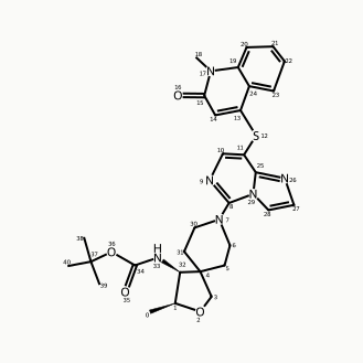 C[C@@H]1OCC2(CCN(c3ncc(Sc4cc(=O)n(C)c5ccccc45)c4nccn34)CC2)[C@@H]1NC(=O)OC(C)(C)C